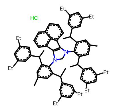 CCc1cc(CC)cc(C(C)c2cc(C)cc(C(C)c3cc(CC)cc(CC)c3)c2N2CN(c3c(C(C)c4cc(CC)cc(CC)c4)cc(C)cc3C(C)c3cc(CC)cc(CC)c3)C3=C2c2cccc4cccc3c24)c1.Cl